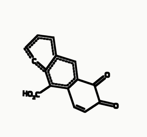 O=C1C=Cc2c(cc3ccccc3c2C(=O)O)C1=O